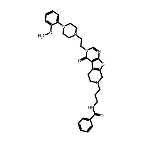 COc1ccccc1N1CCN(CCn2cnc3sc4c(c3c2=O)CCN(CCCNC(=O)c2ccccc2)C4)CC1